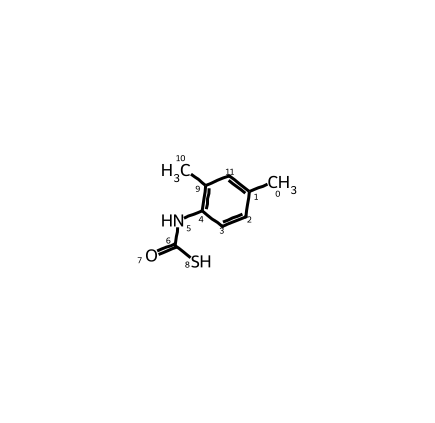 Cc1ccc(NC(=O)S)c(C)c1